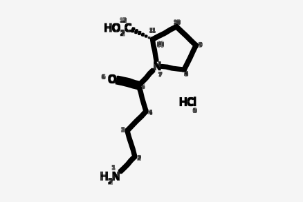 Cl.NCCCC(=O)N1CCC[C@H]1C(=O)O